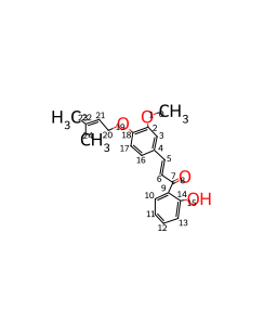 COc1cc(/C=C/C(=O)c2ccccc2O)ccc1OCC=C(C)C